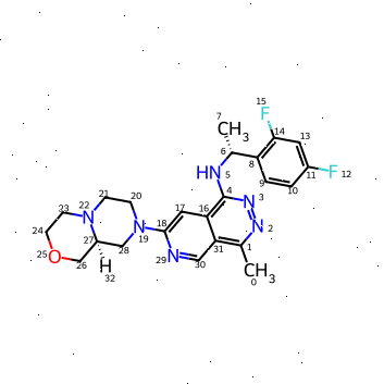 Cc1nnc(N[C@H](C)c2ccc(F)cc2F)c2cc(N3CCN4CCOC[C@@H]4C3)ncc12